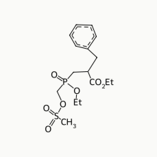 CCOC(=O)C(Cc1ccccc1)CP(=O)(COS(C)(=O)=O)OCC